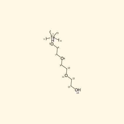 C[TeH](C)(I)(I)OCCOCCOCCO